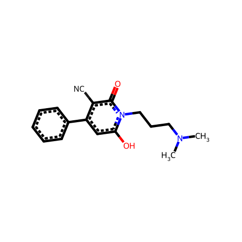 CN(C)CCCn1c(O)cc(-c2ccccc2)c(C#N)c1=O